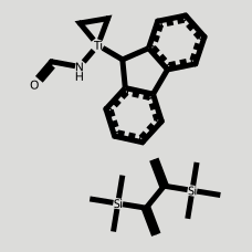 C=C(C(=C)[Si](C)(C)C)[Si](C)(C)C.O=C[NH][Ti]1([CH]2c3ccccc3-c3ccccc32)[CH2][CH2]1